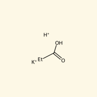 CCC(=O)O.[H+].[K+]